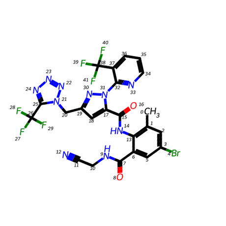 Cc1cc(Br)cc(C(=O)NCC#N)c1NC(=O)c1cc(Cn2nnnc2C(F)(F)F)nn1-c1ncccc1C(F)(F)F